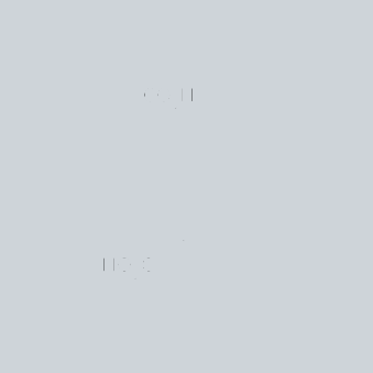 O=C(O)CCCC1(C(=O)O)CCCCC1